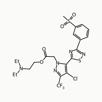 CCN(CC)CCOC(=O)Cn1nc(C(F)(F)F)c(Cl)c1-c1nc(-c2cccc(S(C)(=O)=O)c2)ns1